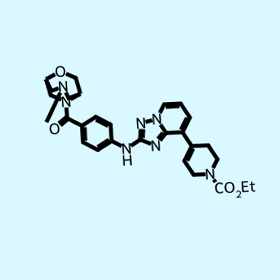 CCOC(=O)N1CC=C(c2cccn3nc(Nc4ccc(C(=O)N5CC6CN(C)CC5CO6)cc4)nc23)CC1